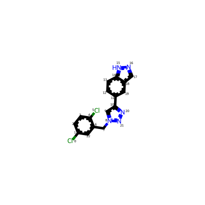 Clc1ccc(Cl)c(Cn2cc(-c3ccc4[nH]ncc4c3)nn2)c1